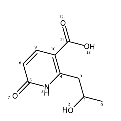 CC(O)Cc1[nH]c(=O)ccc1C(=O)O